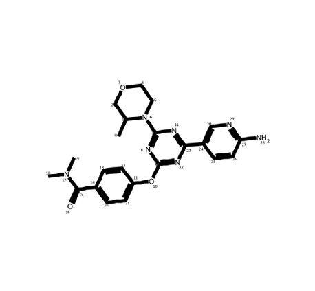 CC1COCCN1c1nc(Oc2ccc(C(=O)N(C)C)cc2)nc(-c2ccc(N)nc2)n1